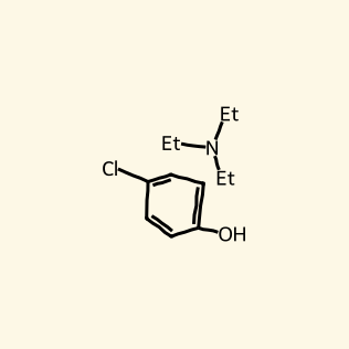 CCN(CC)CC.Oc1ccc(Cl)cc1